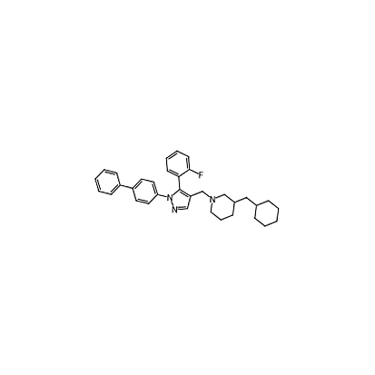 Fc1ccccc1-c1c(CN2CCCC(CC3CCCCC3)C2)cnn1-c1ccc(-c2ccccc2)cc1